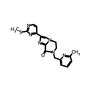 CSc1nccc(-c2cn3c(n2)C(=O)N(Cc2cccc(C)n2)CC3)n1